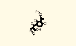 CCON=C(C)c1c(Cl)ccc(C(=O)c2cnn(C)c2O)c1Cl